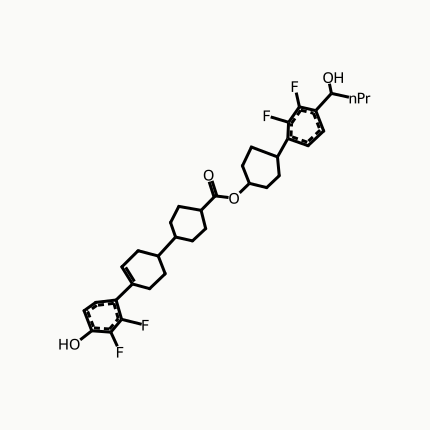 CCCC(O)c1ccc(C2CCC(OC(=O)C3CCC(C4CC=C(c5ccc(O)c(F)c5F)CC4)CC3)CC2)c(F)c1F